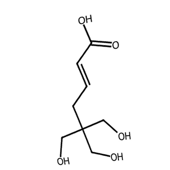 O=C(O)C=CCC(CO)(CO)CO